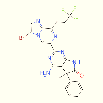 CC1(c2ccccc2)C(=O)Nc2nc(-c3cn4c(Br)cnc4c(CCC(F)(F)F)n3)nc(N)c21